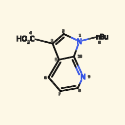 CCCCn1cc(C(=O)O)c2cccnc21